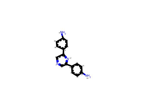 Nc1ccc(-c2cncc(-c3ccc(N)cc3)n2)cc1